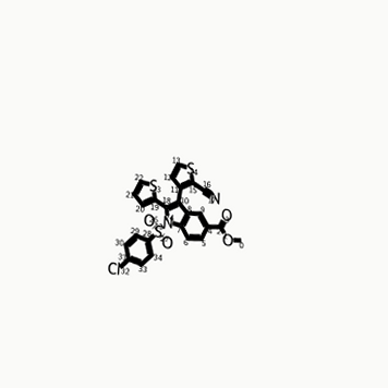 COC(=O)c1ccc2c(c1)c(-c1ccsc1C#N)c(-c1cccs1)n2S(=O)(=O)c1ccc(Cl)cc1